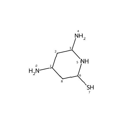 NC1CC(N)NC(S)C1